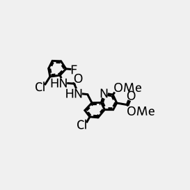 COC(=O)c1cc2cc(Cl)cc(CNC(=O)Nc3c(F)cccc3Cl)c2nc1OC